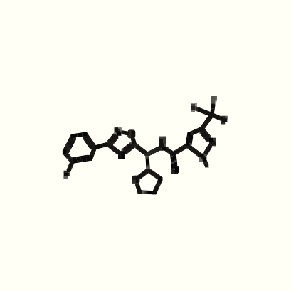 Cn1nc(C(F)(F)F)cc1C(=O)NC(c1nc(-c2cccc(F)c2)no1)C1CCCO1